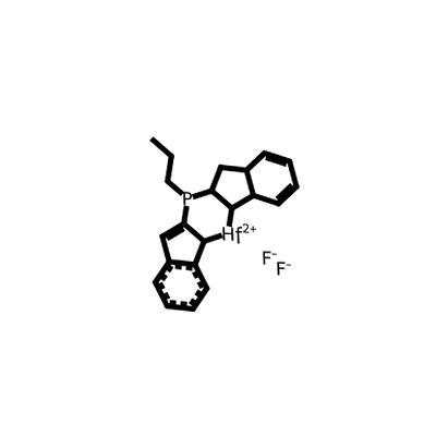 CCCP1C2=Cc3ccccc3[CH]2[Hf+2][CH]2C3C=CC=CC3CC21.[F-].[F-]